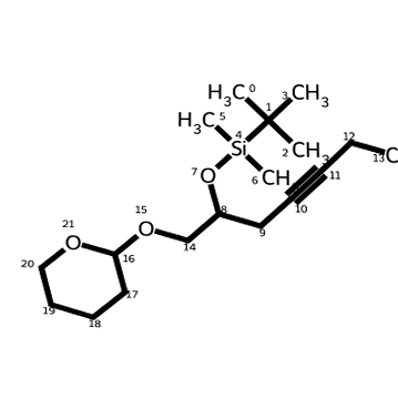 CC(C)(C)[Si](C)(C)OC(CC#CCCl)COC1CCCCO1